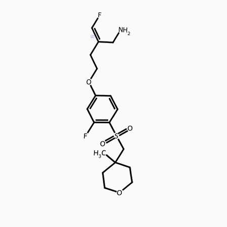 CC1(CS(=O)(=O)c2ccc(OCC/C(=C/F)CN)cc2F)CCOCC1